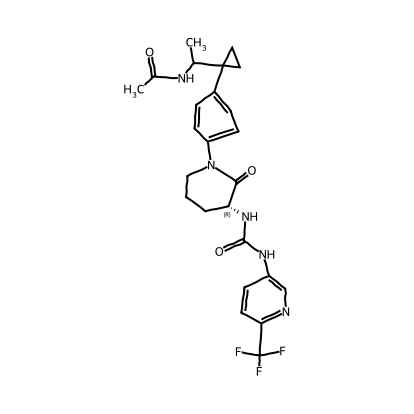 CC(=O)NC(C)C1(c2ccc(N3CCC[C@@H](NC(=O)Nc4ccc(C(F)(F)F)nc4)C3=O)cc2)CC1